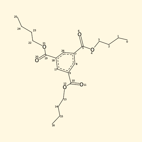 CCCCOC(=O)c1cc(C(=O)OCCCC)cc(C(=O)OCCCC)c1